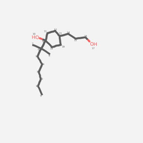 CCCCCCC(C)(C)C1(O)CC[C](CCCO)CC1